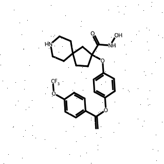 C=C(Oc1ccc(OC2(C(=O)NO)CCC3(CCNCC3)C2)cc1)c1ccc(OC(F)(F)F)cc1